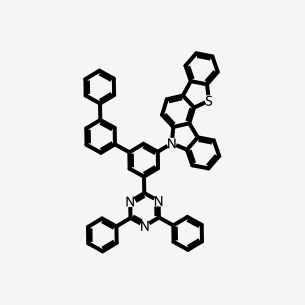 c1ccc(-c2cccc(-c3cc(-c4nc(-c5ccccc5)nc(-c5ccccc5)n4)cc(-n4c5ccccc5c5c6sc7ccccc7c6ccc54)c3)c2)cc1